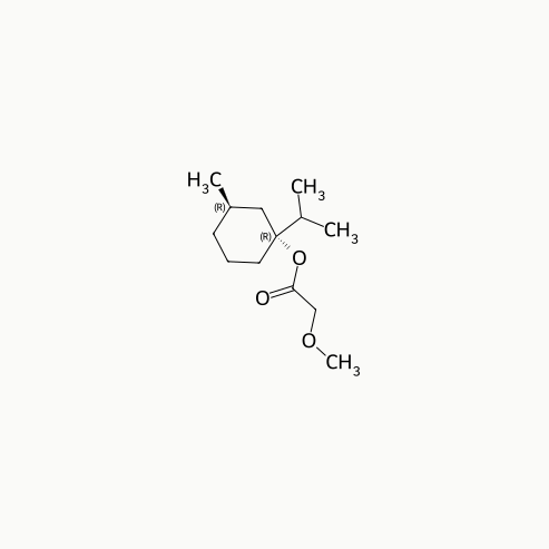 COCC(=O)O[C@]1(C(C)C)CCC[C@@H](C)C1